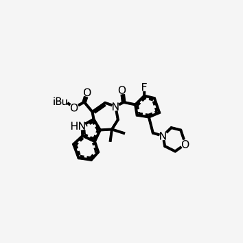 CCC(C)OC(=O)C1=CN(C(=O)c2cc(CN3CCOCC3)ccc2F)CC(C)(C)c2c1[nH]c1ccccc21